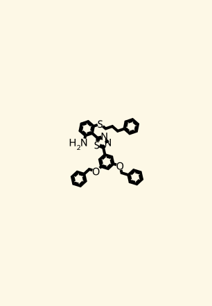 Nc1cccc(SCCCc2ccccc2)c1-c1nnc(-c2cc(OCc3ccccc3)cc(OCc3ccccc3)c2)s1